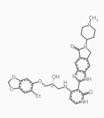 CCc1cc2c(cc1OC[C@H](O)CNc1cc[nH]c(=O)c1-c1nc3cc4c(cc3[nH]1)CN(C1CCN(C)CC1)C4=O)OCO2